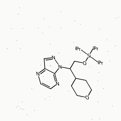 CC(C)[Si](OCC(C1CCOCC1)n1ncc2nccnc21)(C(C)C)C(C)C